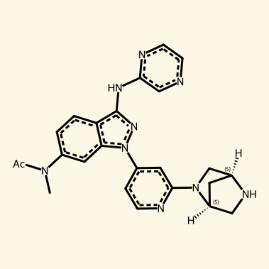 CC(=O)N(C)c1ccc2c(Nc3cnccn3)nn(-c3ccnc(N4C[C@@H]5C[C@H]4CN5)c3)c2c1